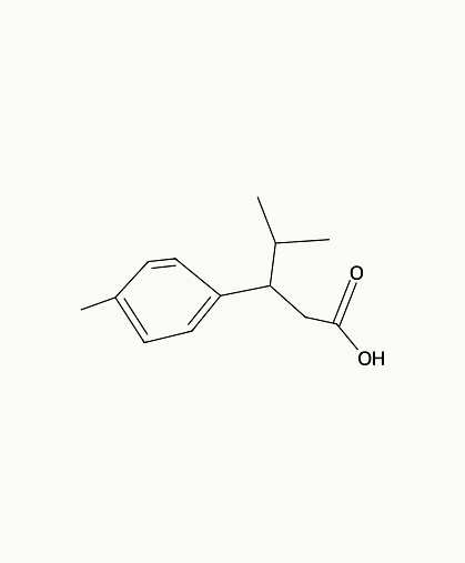 Cc1ccc(C(CC(=O)O)C(C)C)cc1